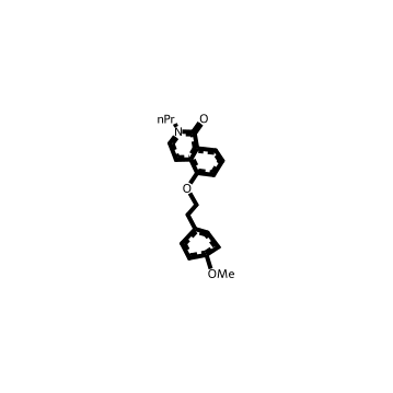 CCCn1ccc2c(OCCc3ccc(OC)cc3)cccc2c1=O